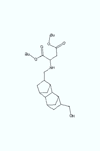 CCC(C)OC(=O)CC(NCC1CC2CC1C1C3CC(CC3CO)C21)C(=O)OC(C)CC